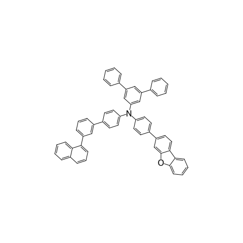 c1ccc(-c2cc(-c3ccccc3)cc(N(c3ccc(-c4cccc(-c5cccc6ccccc56)c4)cc3)c3ccc(-c4ccc5c(c4)oc4ccccc45)cc3)c2)cc1